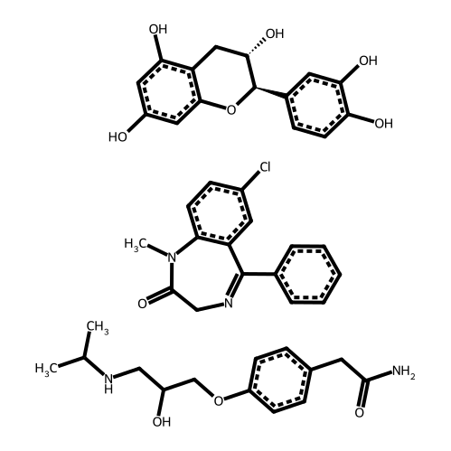 CC(C)NCC(O)COc1ccc(CC(N)=O)cc1.CN1C(=O)CN=C(c2ccccc2)c2cc(Cl)ccc21.Oc1cc(O)c2c(c1)O[C@H](c1ccc(O)c(O)c1)[C@@H](O)C2